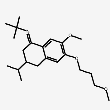 COCCCOc1cc2c(cc1OC)C(=NC(C)(C)C)CC(C(C)C)C2